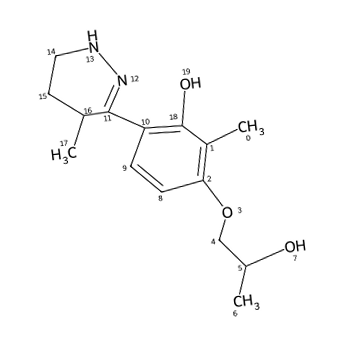 Cc1c(OCC(C)O)ccc(C2=NNCCC2C)c1O